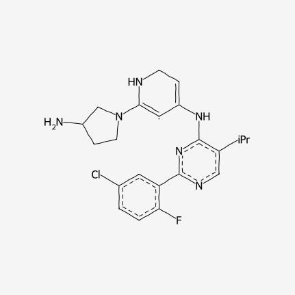 CC(C)c1cnc(-c2cc(Cl)ccc2F)nc1NC1=CCNC(N2CCC(N)C2)=[C]1